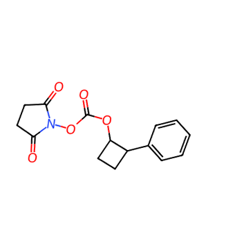 O=C(OC1CCC1c1ccccc1)ON1C(=O)CCC1=O